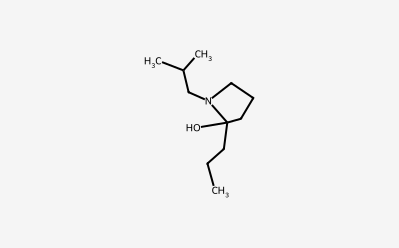 CCCC1(O)CCCN1CC(C)C